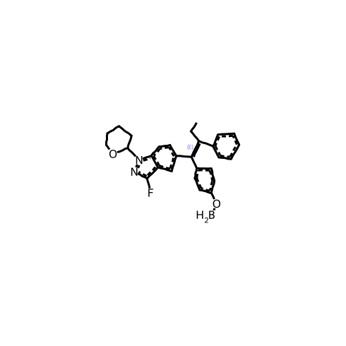 BOc1ccc(/C(=C(/CC)c2ccccc2)c2ccc3c(c2)c(F)nn3C2CCCCO2)cc1